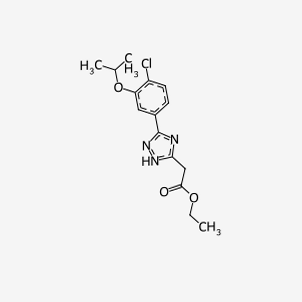 CCOC(=O)Cc1nc(-c2ccc(Cl)c(OC(C)C)c2)n[nH]1